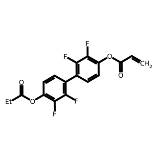 C=CC(=O)Oc1ccc(-c2ccc(OC(=O)CC)c(F)c2F)c(F)c1F